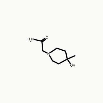 CC1(O)CCN(CC(N)=O)CC1